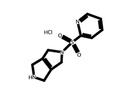 Cl.O=S(=O)(c1ccccn1)N1CC2=C(CNC2)C1